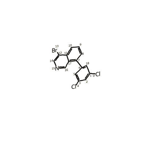 Clc1cc(Cl)cc(-c2cccc3c(Br)cncc23)c1